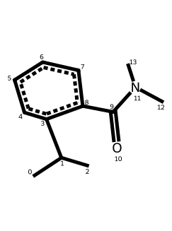 CC(C)c1ccccc1C(=O)N(C)C